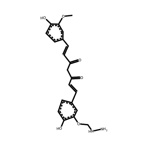 COc1cc(C=CC(=O)CC(=O)C=Cc2ccc(O)c(OCNN)c2)ccc1O